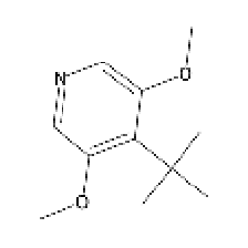 COc1cncc(OC)c1C(C)(C)C